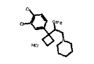 COC(CN1CCCCC1)C1(c2ccc(Cl)c(Cl)c2)CCC1.Cl